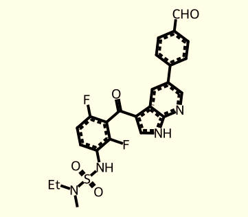 CCN(C)S(=O)(=O)Nc1ccc(F)c(C(=O)c2c[nH]c3ncc(-c4ccc(C=O)cc4)cc23)c1F